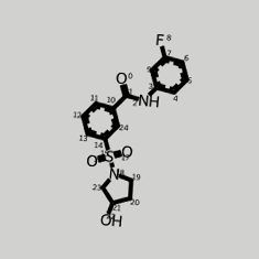 O=C(Nc1cccc(F)c1)c1cccc(S(=O)(=O)N2CCC(O)C2)c1